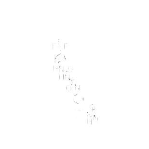 CS(=O)(=O)NCC1(c2ccc(N3CCC[C@@H](NC(=O)Nc4ccc(C(F)(F)F)cn4)C3=O)cc2)CCCC1